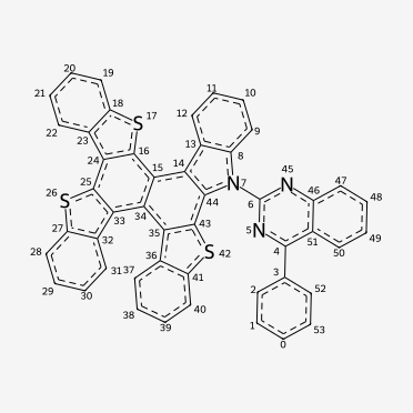 c1ccc(-c2nc(-n3c4ccccc4c4c5c6sc7ccccc7c6c6sc7ccccc7c6c5c5c6ccccc6sc5c43)nc3ccccc23)cc1